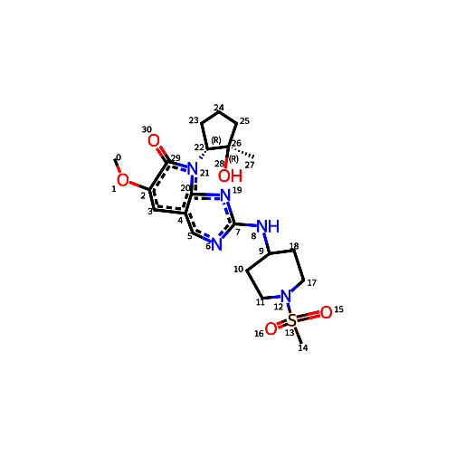 COc1cc2cnc(NC3CCN(S(C)(=O)=O)CC3)nc2n([C@@H]2CCC[C@@]2(C)O)c1=O